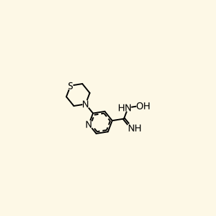 N=C(NO)c1ccnc(N2CCSCC2)c1